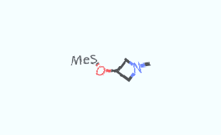 CSOC1CN(C)C1